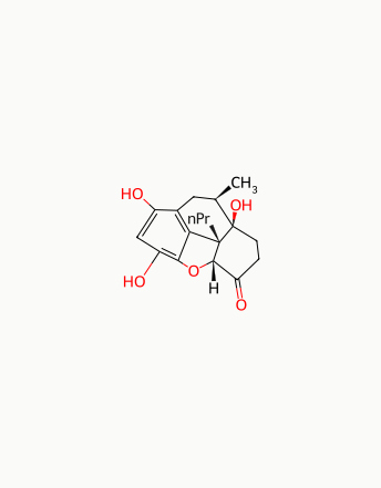 CCC[C@]12c3c4c(O)cc(O)c3O[C@H]1C(=O)CC[C@@]2(O)[C@H](C)C4